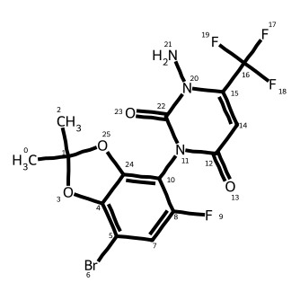 CC1(C)Oc2c(Br)cc(F)c(-n3c(=O)cc(C(F)(F)F)n(N)c3=O)c2O1